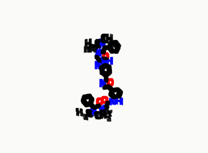 CCCN(CC(=O)Nc1cccc(-c2cnc(-c3ccc4[nH]c(CN(CCC)C(=O)[C@@H](c5ccccc5)N(C)C)nc4c3)o2)c1)C(=O)[C@@H](c1ccccc1)N(C)C